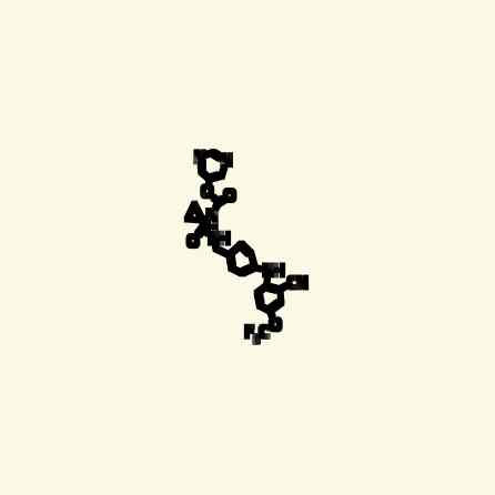 N#Cc1cc(OC(F)(F)F)ccc1Nc1ccc(CNC(=O)C2(NC(=O)Oc3cncnc3)CC2)cc1